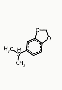 C[SH](C)c1ccc2c(c1)OCO2